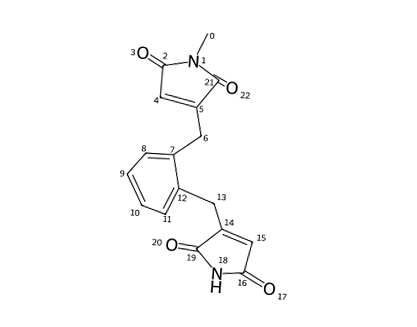 CN1C(=O)C=C(Cc2ccccc2CC2=CC(=O)NC2=O)C1=O